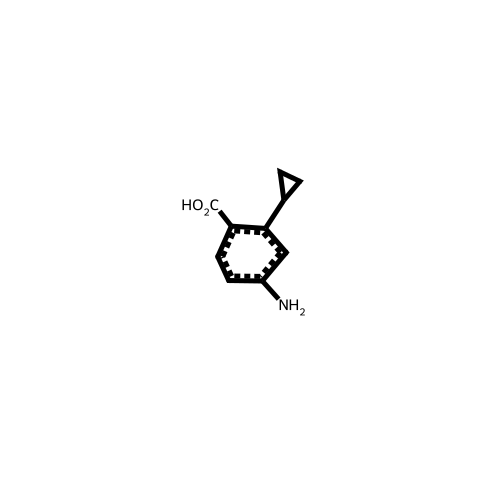 Nc1ccc(C(=O)O)c(C2CC2)c1